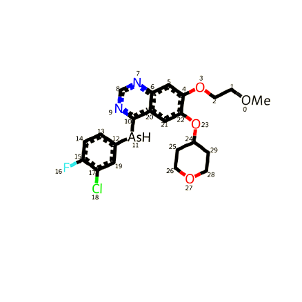 COCCOc1cc2ncnc([AsH]c3ccc(F)c(Cl)c3)c2cc1OC1CCOCC1